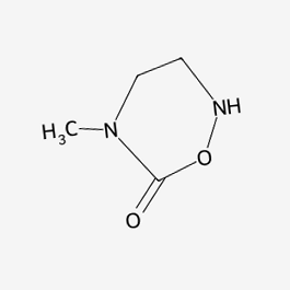 CN1CCNOC1=O